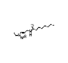 CCCCCCCC(=O)NCc1cn(CC)nn1